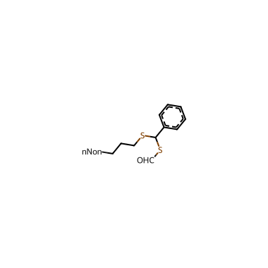 CCCCCCCCCCCCSC(SC=O)c1ccccc1